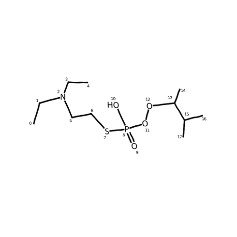 CCN(CC)CCSP(=O)(O)OOC(C)C(C)C